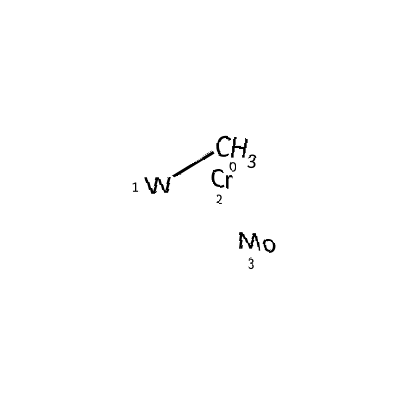 [CH3][W].[Cr].[Mo]